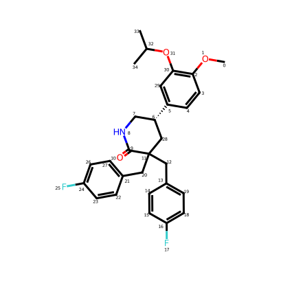 COc1ccc([C@H]2CNC(=O)C(Cc3ccc(F)cc3)(Cc3ccc(F)cc3)C2)cc1OC(C)C